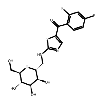 O=C(c1cnc(NC[C@H]2O[C@H](CO)[C@@H](O)[C@H](O)[C@@H]2O)s1)c1ccc(F)cc1F